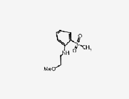 COCCNc1ccccc1S(C)(=O)=O